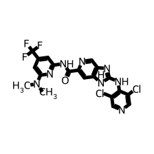 CN(C)c1cc(C(F)(F)F)cc(NC(=O)c2cc3[nH]c(Nc4c(Cl)cncc4Cl)nc3cn2)n1